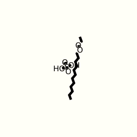 CCCCCCCCCCCCOOCC.O=S(=O)(O)O